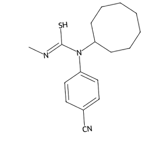 CN=C(S)N(c1ccc(C#N)cc1)C1CCCCCCC1